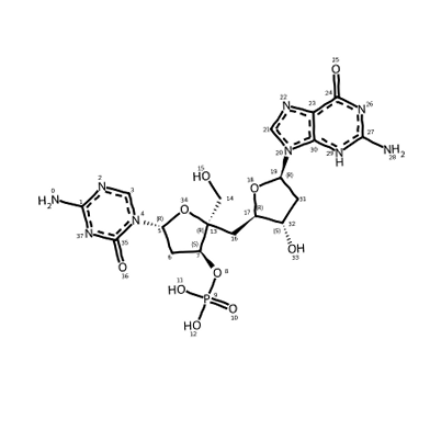 Nc1ncn([C@H]2C[C@H](OP(=O)(O)O)[C@](CO)(C[C@H]3O[C@@H](n4cnc5c(=O)nc(N)[nH]c54)C[C@@H]3O)O2)c(=O)n1